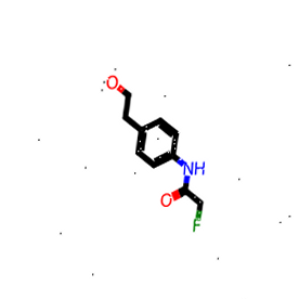 [O]CCc1ccc(NC(=O)CF)cc1